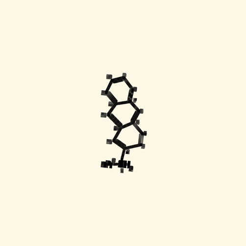 CCC[SiH2]c1ccc2cc3ccccc3cc2c1